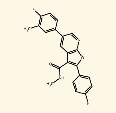 CNC(=O)c1c(-c2ccc(F)cc2)oc2ncc(-c3ccc(F)c(C)c3)cc12